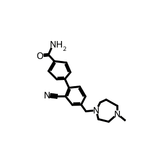 CN1CCCN(Cc2ccc(-c3ccc(C(N)=O)cc3)c(C#N)c2)CC1